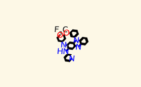 FC(F)(F)Oc1cccc(-n2c3c/c(=N\C4CCOCC4)c(Nc4cccnc4)cc-3nc3ccccc32)c1